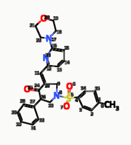 Cc1ccc(S(=O)(=O)N2CC(=Cc3cccc(N4CCOCC4)n3)C(=O)C(c3ccccc3)C2)cc1